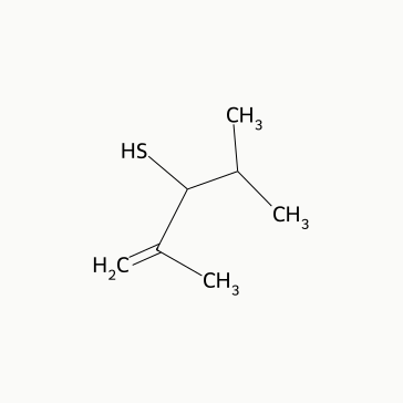 C=C(C)C(S)C(C)C